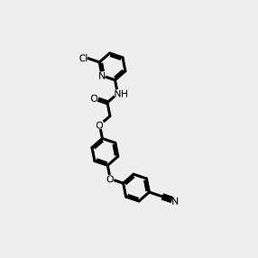 N#Cc1ccc(Oc2ccc(OCC(=O)Nc3cccc(Cl)n3)cc2)cc1